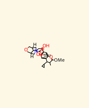 COC(=O)C(C)C(c1ccc2c(c1)OC(C1[C@@H]3COC[C@H]1CN(C(=O)OC(C)(C)C)C3)CC2O)C1CC1